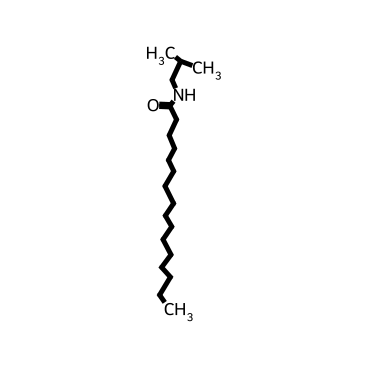 CCCCCCCCCCCCCCCC(=O)NCC(C)C